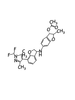 CC(=O)O[C@H]1c2ccc(NC3COc4c(-c5c(C)nn(C(F)F)c5C)cccc43)cc2OC1C